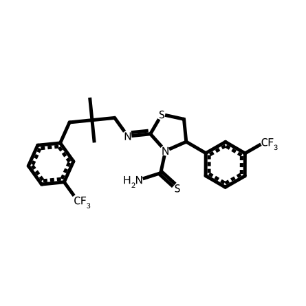 CC(C)(CN=C1SCC(c2cccc(C(F)(F)F)c2)N1C(N)=S)Cc1cccc(C(F)(F)F)c1